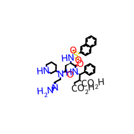 NN=CCN(C(=O)C[C@@H](NS(=O)(=O)c1ccc2ccccc2c1)C(=O)N[C@H](c1ccccc1)[C@H](CC(=O)O)C(=O)O)C1CCCNC1